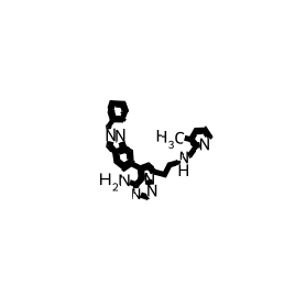 Cc1cccnc1CNCCCc1cc(-c2ccc3cn(Cc4ccccc4)nc3c2)c2c(N)ncnn12